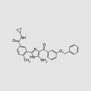 Cc1ccc(C(=O)NC2CC2)cc1-c1nc(C(=O)c2cccc(OCc3ccccc3)c2)c(N)[nH]1